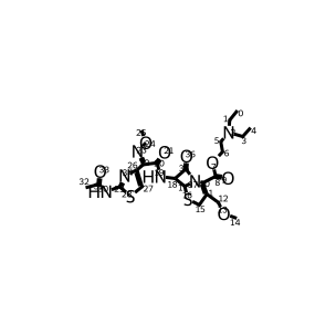 CCN(CC)CCOC(=O)C1=C(COC)CSC2C(NC(=O)/C(=N\OC)c3csc(NC(C)=O)n3)C(=O)N12